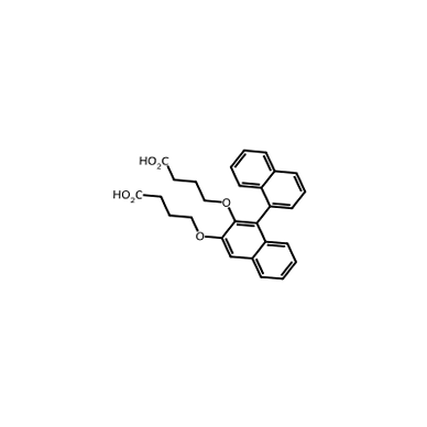 O=C(O)CCCOc1cc2ccccc2c(-c2cccc3ccccc23)c1OCCCC(=O)O